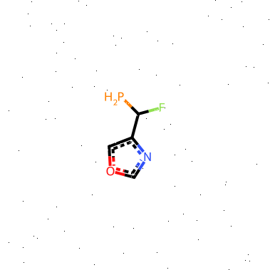 FC(P)c1cocn1